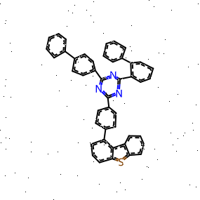 c1ccc(-c2ccc(-c3nc(-c4ccc(-c5cccc6sc7ccccc7c56)cc4)nc(-c4ccccc4-c4ccccc4)n3)cc2)cc1